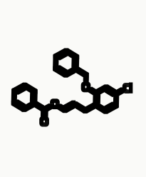 O=C(OC=CCc1ccc(Cl)cc1OCc1ccccc1)c1ccccc1